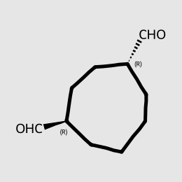 O=C[C@@H]1CCCC[C@@H](C=O)CC1